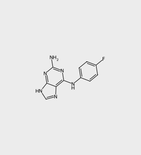 Nc1nc(Nc2ccc(F)cc2)c2nc[nH]c2n1